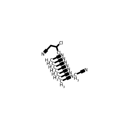 CC#N.CC#N.CC#N.CC#N.CC#N.CC#N.CC#N.CC#N.N#CCC(Cl)Cl